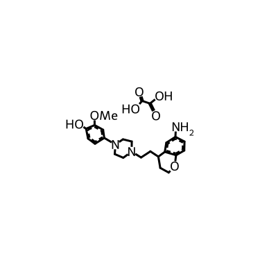 COc1cc(N2CCN(CCC3CCOc4ccc(N)cc43)CC2)ccc1O.O=C(O)C(=O)O